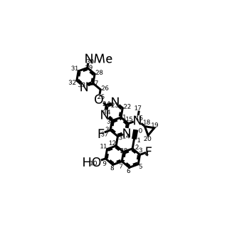 C#Cc1c(F)ccc2cc(O)cc(-c3nc(N(C)C4CC4)c4cnc(OCc5cc(NC)ccn5)nc4c3F)c12